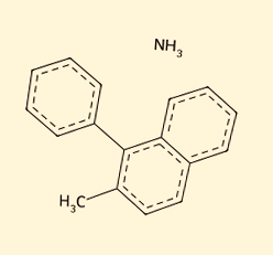 Cc1ccc2ccccc2c1-c1ccccc1.N